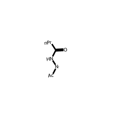 CCCC(=O)N[N]C(C)=O